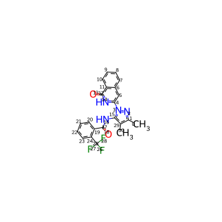 Cc1nn(-c2cc3ccccc3c(=O)[nH]2)c(NC(=O)c2ccccc2C(F)(F)F)c1C